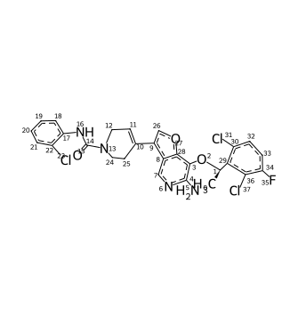 C[C@@H](Oc1c(N)ncc2c(C3=CCN(C(=O)Nc4ccccc4Cl)CC3)coc12)c1c(Cl)ccc(F)c1Cl